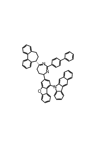 c1ccc(-c2ccc(C3=NC(c4cc(-n5c6ccccc6c6cc7ccccc7cc65)c5c(c4)oc4ccccc45)CCC([C@H]4CCc5ccccc5-c5ccccc54)=N3)cc2)cc1